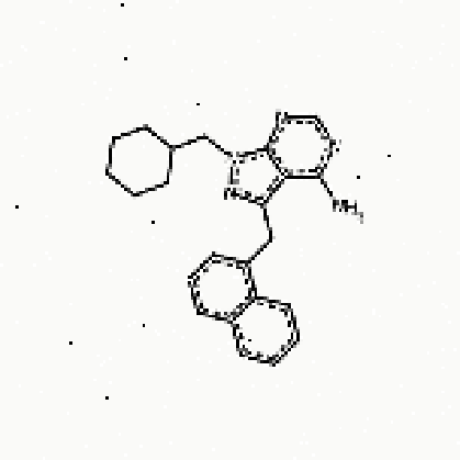 Nc1ncnc2c1c(Cc1cccc3ccccc13)nn2CC1CCCCC1